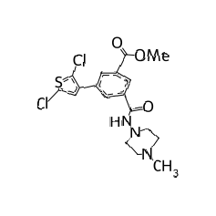 COC(=O)c1cc(C(=O)NN2CCN(C)CC2)cc(-c2cc(Cl)sc2Cl)c1